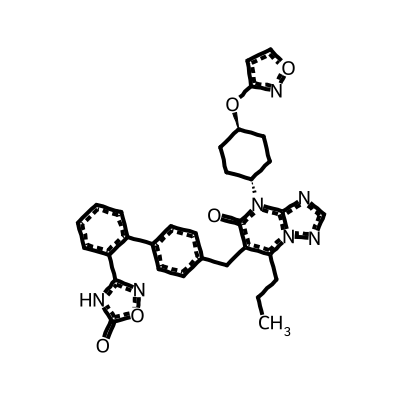 CCCc1c(Cc2ccc(-c3ccccc3-c3noc(=O)[nH]3)cc2)c(=O)n([C@H]2CC[C@H](Oc3ccon3)CC2)c2ncnn12